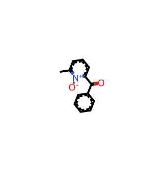 Cc1cccc(C(=O)c2ccccc2)[n+]1[O-]